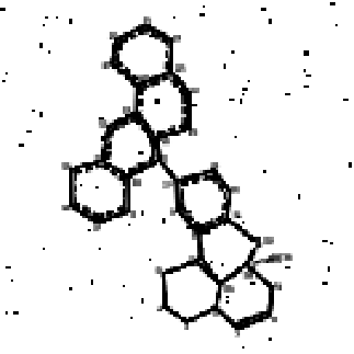 C1=CC2CCCC3C4c5cc(-c6c7ccccc7cc7c6ccc6ccccc67)ccc5S[C@@H](C1)C234